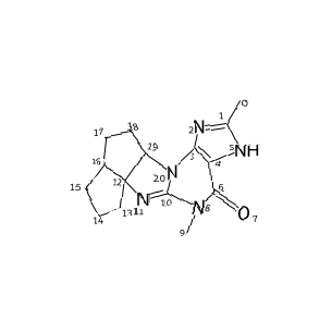 Cc1nc2c([nH]1)C(=O)N(C)C1=NC34CCCC3CCC4N12